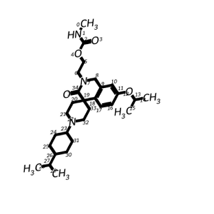 CNC(=O)OCCN1Cc2cc(OC(C)C)ccc2C2(CCN(C3CCC(C(C)C)CC3)CC2)C1=O